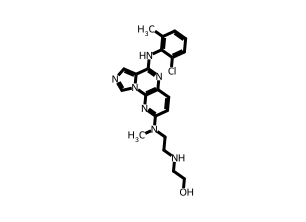 Cc1cccc(Cl)c1Nc1nc2ccc(N(C)CCNCCO)nc2n2cncc12